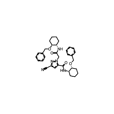 N#Cc1cc(C(=O)N[C@@H]2CCCC[C@H]2OCc2ccccc2)n(CC(=O)N[C@H]2CCCC[C@@H]2OCc2ccccc2)n1